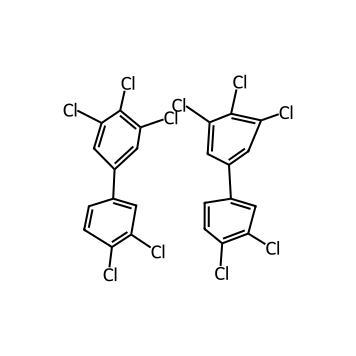 Clc1ccc(-c2cc(Cl)c(Cl)c(Cl)c2)cc1Cl.Clc1ccc(-c2cc(Cl)c(Cl)c(Cl)c2)cc1Cl